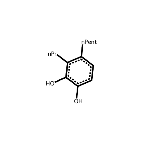 CCCCCc1ccc(O)c(O)c1CCC